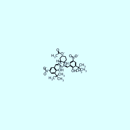 CC(=O)[O-].CC(C)(C)c1cc([N+](=O)[O-])cc(C=[N+]2[Cr][N+](=Cc3cc([N+](=O)[O-])cc(C(C)(C)C)c3O)[C@@H]3CCCC[C@H]32)c1O